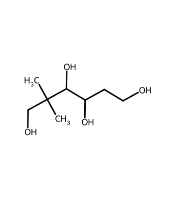 CC(C)(CO)C(O)C(O)CCO